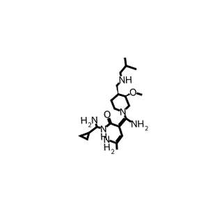 CO[C@H]1CN(/C(N)=C(/C=C(/C)N)C(=O)NC(N)C2CC2)CC[C@H]1CNCC(C)C